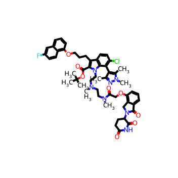 Cc1nn(C)c(C)c1-c1c(Cl)ccc2c(CCCOc3cccc4cc(F)ccc34)c(C(=O)OC(C)(C)C)n(CCN(C)CCN(C)C(=O)COc3cccc4c3CN(C3CCC(=O)NC3=O)C4=O)c12